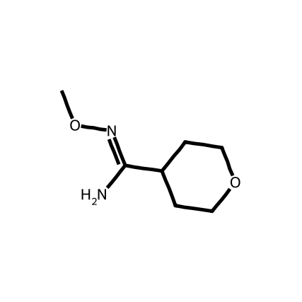 CO/N=C(\N)C1CCOCC1